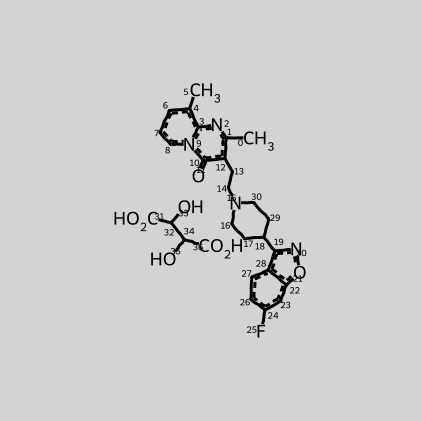 Cc1nc2c(C)cccn2c(=O)c1CCN1CCC(c2noc3cc(F)ccc23)CC1.O=C(O)C(O)C(O)C(=O)O